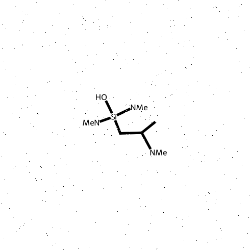 CNC(C)C[Si](O)(NC)NC